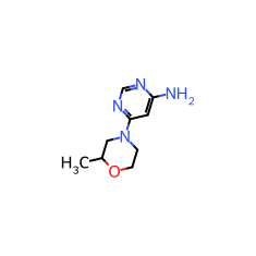 CC1CN(c2cc(N)ncn2)CCO1